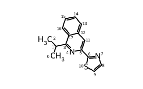 CC(C)c1nc(-c2nccs2)cc2ccccc12